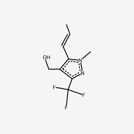 CC=Cc1c(CO)c(C(F)(F)F)nn1C